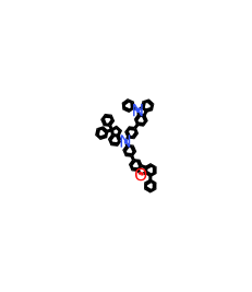 c1ccc(-c2cccc3c2oc2ccc(-c4ccc(N(c5ccc(-c6ccc7c8ccccc8n(-c8ccccc8)c7c6)cc5)c5cccc6c5CCC6(c5ccccc5)c5ccccc5)cc4)cc23)cc1